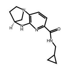 O=C(NCC1CC1)c1ccc2c(n1)N[C@H]1CCN2C1